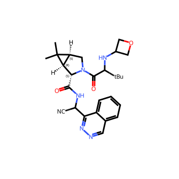 CC(C)(C)C(NC1COC1)C(=O)N1C[C@H]2[C@@H]([C@H]1C(=O)NC(C#N)c1nncc3ccccc13)C2(C)C